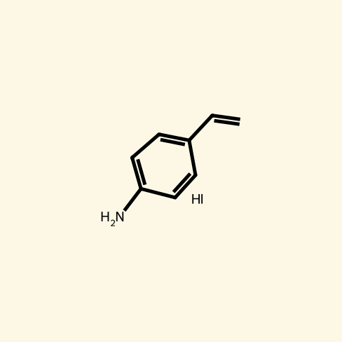 C=Cc1ccc(N)cc1.I